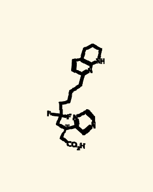 O=C(O)C[C@@H](CC(F)(F)CCCCc1ccc2c(n1)NCCC2)c1cnccn1